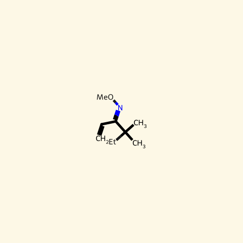 C=C/C(=N\OC)C(C)(C)CC